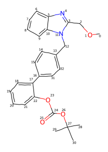 COCc1nc2ccccc2n1Cc1ccc(-c2ccccc2OC(=O)OC(C)(C)C)cc1